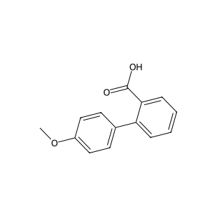 COc1ccc(-c2ccccc2C(=O)O)cc1